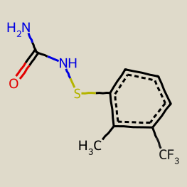 Cc1c(SNC(N)=O)cccc1C(F)(F)F